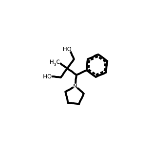 CC(CO)(CO)C(c1ccccc1)N1CCCC1